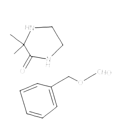 CC1(C)NCCNC1=O.O=COCc1ccccc1